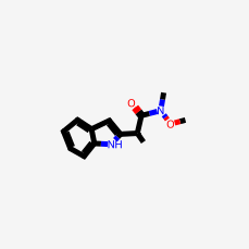 CON(C)C(=O)[C](C)c1cc2ccccc2[nH]1